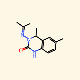 CC(C)=NN1C(=O)Nc2ccc(C)cc2C1C